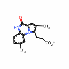 Cc1cc2c(=O)[nH]c3ccc(C(F)(F)F)cc3n2c1CCC(=O)O